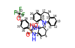 N=S(=O)(NC1=CCC[C@H](N2c3ccccc3CCc3ccccc32)[C@@H]1O)c1ccc(OC(F)(F)F)cc1